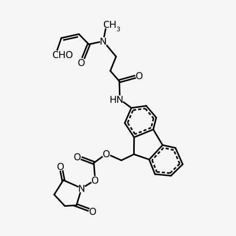 CN(CCC(=O)Nc1ccc2c(c1)C(COC(=O)ON1C(=O)CCC1=O)c1ccccc1-2)C(=O)/C=C\C=O